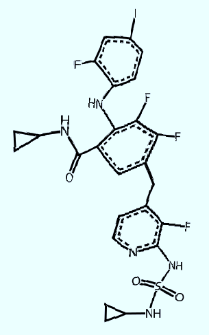 O=C(NC1CC1)c1cc(Cc2ccnc(NS(=O)(=O)NC3CC3)c2F)c(F)c(F)c1Nc1ccc(I)cc1F